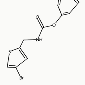 O=C(NCc1cc(Br)cs1)Oc1ccccc1